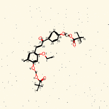 CCOc1cc(OCOC(=O)C(C)(C)C)c(C)cc1C=CC(=O)c1ccc(OCOC(=O)C(C)(C)C)cc1